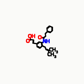 CC(C)=CCc1ccc(/C=C/C(=O)O)cc1NC(=O)CCc1ccccc1